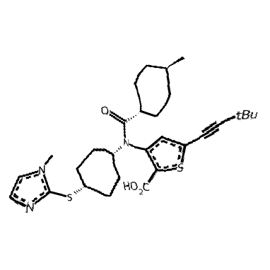 Cn1ccnc1S[C@H]1CC[C@@H](N(c2cc(C#CC(C)(C)C)sc2C(=O)O)C(=O)[C@H]2CC[C@H](C)CC2)CC1